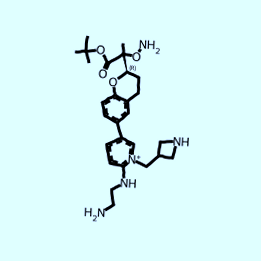 CC(C)(C)OC(=O)C(C)(ON)[C@H]1CCc2cc(-c3ccc(NCCN)[n+](CC4CNC4)c3)ccc2O1